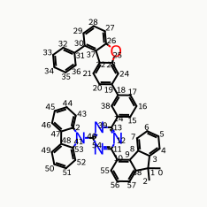 CC1(C)c2ccccc2-c2c(-c3nc(-c4cccc(-c5ccc6c(c5)oc5cccc(-c7ccccc7)c56)c4)nc(-n4c5ccccc5c5ccccc54)n3)cccc21